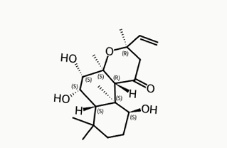 C=C[C@@]1(C)CC(=O)[C@H]2[C@](C)(O1)[C@@H](O)[C@@H](O)[C@H]1C(C)(C)CC[C@H](O)[C@@]12C